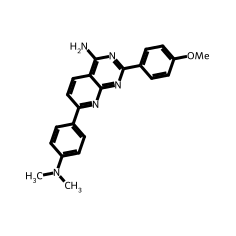 COc1ccc(-c2nc(N)c3ccc(-c4ccc(N(C)C)cc4)nc3n2)cc1